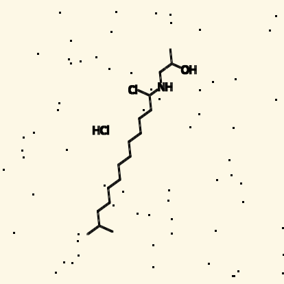 CC(C)CCCCCCCCCCC(Cl)NCC(C)O.Cl